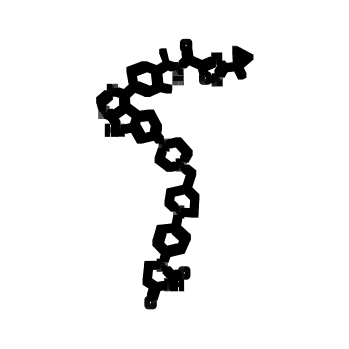 Cc1cc(-c2ncnc3[nH]c4cc(N5CCN(CC6CCN(c7ccc(N8CCC(=O)NC8=O)cc7)CC6)CC5)ccc4c23)ccc1[C@@H](C)NC(=O)c1nc(C2(C)CC2)no1